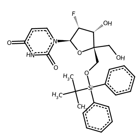 CC(C)(C)[Si](OC[C@@]1(CO)O[C@@H](n2ccc(=O)[nH]c2=O)[C@H](F)[C@@H]1O)(c1ccccc1)c1ccccc1